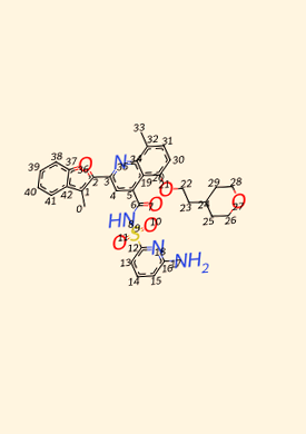 Cc1c(-c2cc(C(=O)NS(=O)(=O)c3cccc(N)n3)c3c(OCCC4CCOCC4)ccc(C)c3n2)oc2ccccc12